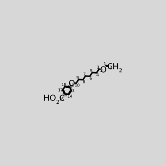 C=COCCCCCCCCOc1ccc(C(=O)O)cc1